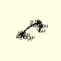 Nc1ncnc2c1c(C#CCNC(=O)CCSSCCCCC(=O)NC(CC(=O)O)C(=O)NC(CC(=O)O)C(=O)O)cn2C1CC(O)C(CCO)O1